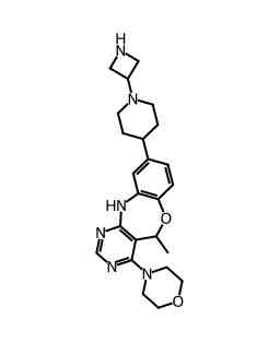 CC1Oc2ccc(C3CCN(C4CNC4)CC3)cc2Nc2ncnc(N3CCOCC3)c21